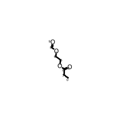 CCC(=O)OCCOC=O